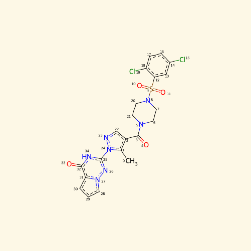 Cc1c(C(=O)N2CCN(S(=O)(=O)c3cc(Cl)ccc3Cl)CC2)cnn1-c1nn2cccc2c(=O)[nH]1